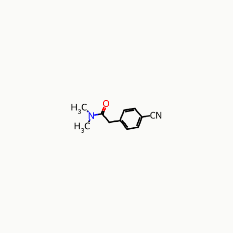 CN(C)C(=O)Cc1ccc(C#N)cc1